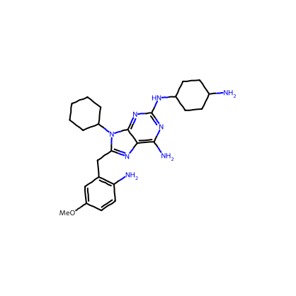 COc1ccc(N)c(Cc2nc3c(N)nc(NC4CCC(N)CC4)nc3n2C2CCCCC2)c1